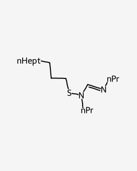 CCCCCCCCCCSN(C=NCCC)CCC